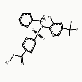 COC(=O)c1ccc(S(=O)(=O)N(c2ncc(C(F)(F)F)cc2Cl)[C@H](C)c2ccccc2)cc1